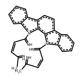 CC(=N)/C=C\C(=N)n1c2ccccc2c2ccc3c4ccccc4n(C(=N)/C=C\C(C)=N)c3c21